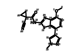 COc1ncc(-c2cnn(C)c2)c2sc(NC(=O)C3(C#N)CC3)nc12